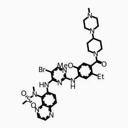 CCc1cc(Nc2ncc(Br)c(Nc3ccc4nccnc4c3N(C)S(C)(=O)=O)n2)c(OC)cc1C(=O)N1CCC(N2CCN(C)CC2)CC1